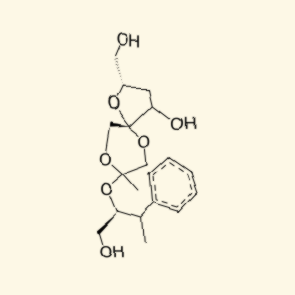 CC(c1ccccc1)[C@@H](CO)OC1(C)CO[C@]2(CO1)O[C@H](CO)CC2O